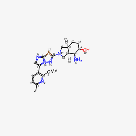 COc1nc(C)ccc1-c1cnc2sc(N3C[C@H]4CC[C@@H](O)[C@@H](N)[C@H]4C3)nn12